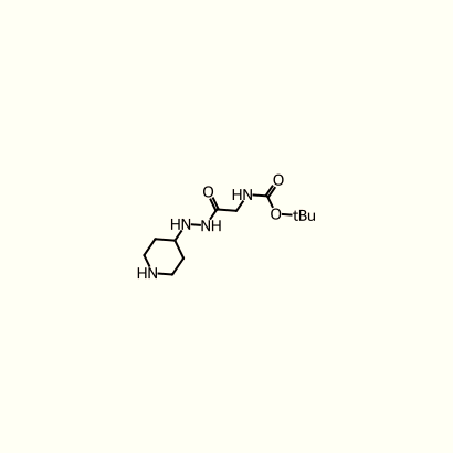 CC(C)(C)OC(=O)NCC(=O)NNC1CCNCC1